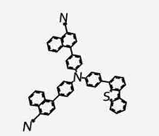 N#Cc1ccc(-c2ccc(N(c3ccc(-c4ccc(C#N)c5ccccc45)cc3)c3ccc(-c4cccc5c4sc4ccccc45)cc3)cc2)c2ccccc12